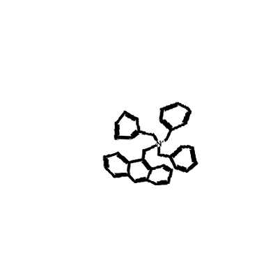 c1ccc(C[N+](Cc2ccccc2)(Cc2ccccc2)Cc2c3ccccc3cc3ccccc23)cc1